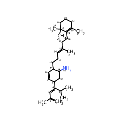 C=C(C)/C=C(\C(C)C)C1C=CC(CC/C=C(\C)CCC2=C(C)CCCC2(C)C)C(N)C1